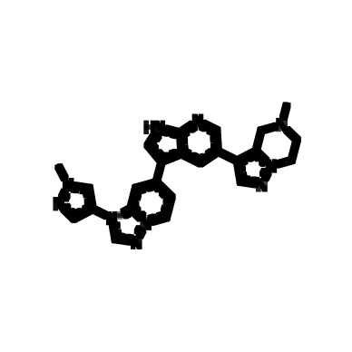 CN1CCn2ncc(-c3cnc4[nH]cc(-c5ccn6nc[n+](-c7cnn(C)c7)c6c5)c4c3)c2C1